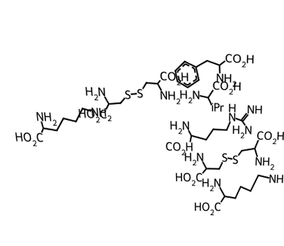 CC(C)C(N)C(=O)O.N=C(N)NCCCC(N)C(=O)O.NC(CSSCC(N)C(=O)O)C(=O)O.NC(CSSCC(N)C(=O)O)C(=O)O.NC(Cc1ccccc1)C(=O)O.NCCCCC(N)C(=O)O.NCCCCC(N)C(=O)O